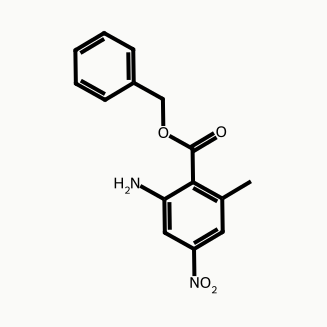 Cc1cc([N+](=O)[O-])cc(N)c1C(=O)OCc1ccccc1